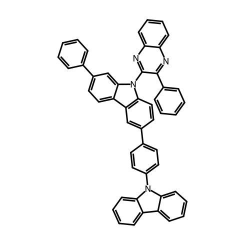 c1ccc(-c2ccc3c4cc(-c5ccc(-n6c7ccccc7c7ccccc76)cc5)ccc4n(-c4nc5ccccc5nc4-c4ccccc4)c3c2)cc1